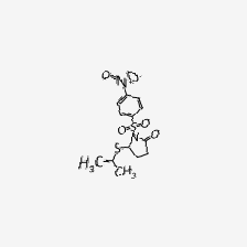 CC(C)SC1CCC(=O)N1S(=O)(=O)c1ccc([N+](=O)[O-])cc1